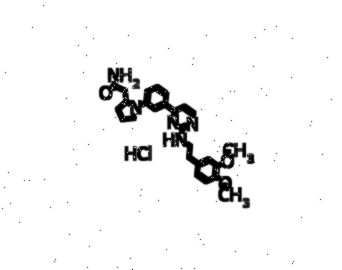 COc1ccc(CCNc2nccc(-c3cccc(N4CCCC4CC(N)=O)c3)n2)cc1OC.Cl